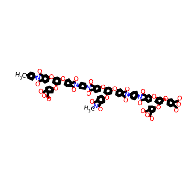 Cc1ccc(N2C(=O)c3ccc(Oc4cc(Oc5ccc6c(c5)C(=O)OC6=O)cc(Oc5ccc6c(c5)C(=O)N(c5ccc(N7C(=O)c8ccc(Oc9cc(Oc%10ccc%11c(c%10)C(=O)N(C)C%11=O)cc(Oc%10ccc%11c(c%10)C(=O)N(c%10ccc(N%12C(=O)c%13ccc(Oc%14cc(Oc%15ccc%16c(c%15)C(=O)OC%16=O)cc(Oc%15ccc%16c(c%15)C(=O)OC%16=O)c%14)cc%13C%12=O)cc%10)C%11=O)c9)cc8C7=O)cc5)C6=O)c4)cc3C2=O)cc1